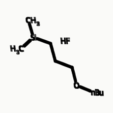 CCCCOCCC[Si](C)C.F